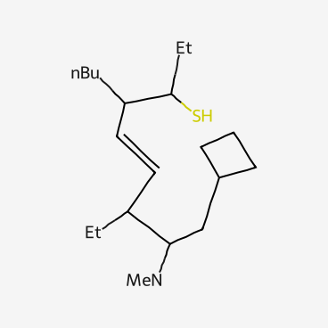 CCCCC(C=CC(CC)C(CC1CCC1)NC)C(S)CC